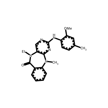 CCN1C(=O)c2ccccc2N(C)c2nc(Nc3ccc(C)cc3OC)ncc21